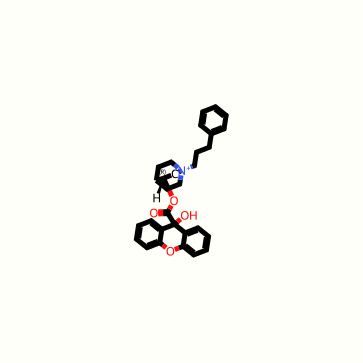 O=C(O[C@H]1C[N+]2(CCCc3ccccc3)CCC1CC2)C1(O)c2ccccc2Oc2ccccc21